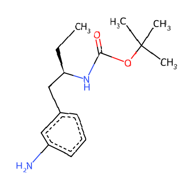 CC[C@H](Cc1cccc(N)c1)NC(=O)OC(C)(C)C